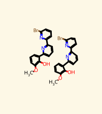 COc1cccc(-c2cccc(-c3cccc(Br)n3)n2)c1O.COc1cccc(-c2cccc(-c3cccc(Br)n3)n2)c1O